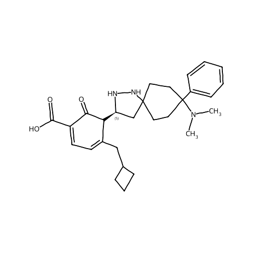 CN(C)C1(c2ccccc2)CCC2(CC1)C[C@@H](C1C(=O)C(C(=O)O)=CC=C1CC1CCC1)NN2